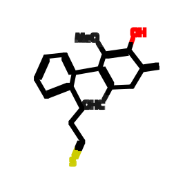 C=C1CC(C=O)=C(c2ccccc2CCC=S)C(OC)=C1O